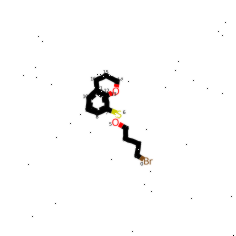 BrCCCCOSc1cccc2c1OCCC2